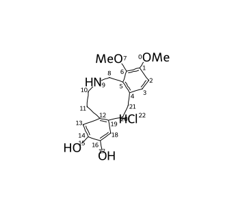 COc1ccc2c(c1OC)CNCCc1cc(O)c(O)cc1CC2.Cl